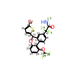 O=C(NF)C(F)(F)c1ccc2c(c1)C(c1ccc(Br)s1)Oc1cccc(OC(F)F)c1-2